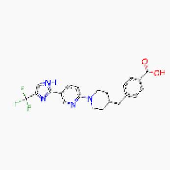 O=C(O)c1ccc(CC2CCN(c3ccc(-c4nc(C(F)(F)F)c[nH]4)cn3)CC2)cc1